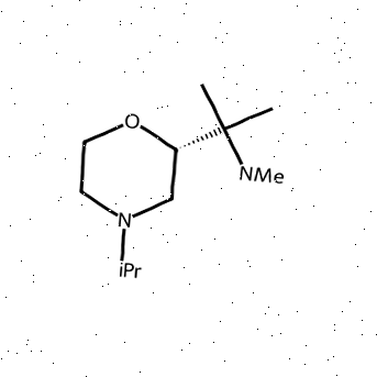 CNC(C)(C)[C@@H]1CN(C(C)C)CCO1